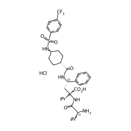 CC(C)[C@H](N)C(=O)N[C@](C[C@H](NC(=O)[C@H]1CC[C@H](NS(=O)(=O)c2ccc(C(F)(F)F)cc2)CC1)c1ccccc1)(C(=O)O)C(C)C.Cl